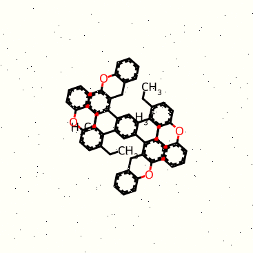 CCc1ccc2c(c1-c1cc(-c3c(CC)ccc4c3Cc3ccccc3O4)c(-c3c(CC)ccc4c3Cc3ccccc3O4)cc1-c1c(CC)ccc3c1Cc1ccccc1O3)Cc1ccccc1O2